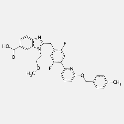 COCCn1c(Cc2cc(F)c(-c3cccc(OCc4ccc(C)cc4)n3)cc2F)nc2ccc(C(=O)O)cc21